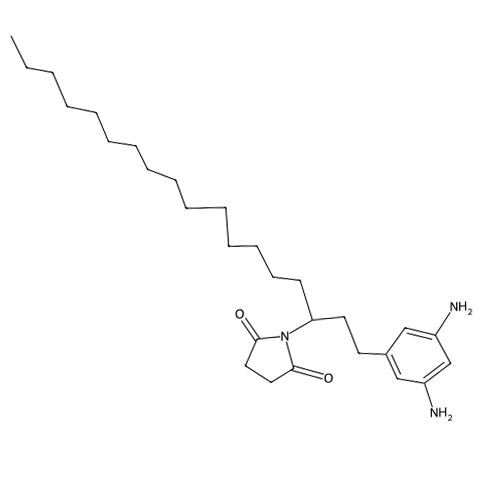 CCCCCCCCCCCCCCCC(CCc1cc(N)cc(N)c1)N1C(=O)CCC1=O